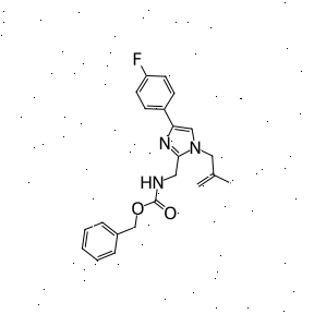 C=C(C)Cn1cc(-c2ccc(F)cc2)nc1CNC(=O)OCc1ccccc1